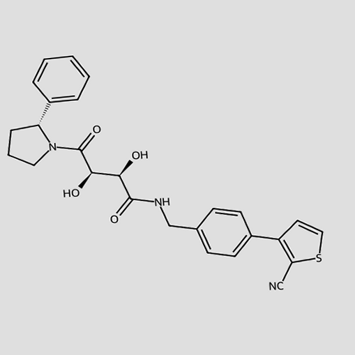 N#Cc1sccc1-c1ccc(CNC(=O)[C@H](O)[C@@H](O)C(=O)N2CCC[C@@H]2c2ccccc2)cc1